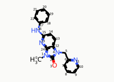 Cn1c(=O)n(Cc2ccccn2)c2ccc(Nc3ccccc3)nc21